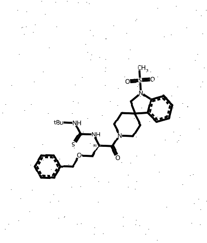 CC(C)(C)NC(=S)N[C@H](COCc1ccccc1)C(=O)N1CCC2(CC1)CN(S(C)(=O)=O)c1ccccc12